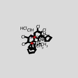 CC(C)(C)[NH][Ti]([CH3])([CH3])([C]1=CC=CC1)([c]1ccc(Cl)c(Cl)c1C1=CC=CC1)[c]1ccc(Cl)c(Cl)c1C1=CC=CC1.Cl.Cl